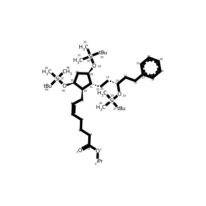 CC(C)OC(=O)CCC/C=C\C[C@@H]1[C@@H](CC[C@H](CCc2ccccc2)O[Si](C)(C)C(C)(C)C)[C@H](O[Si](C)(C)C(C)(C)C)C[C@@H]1O[Si](C)(C)C(C)(C)C